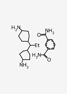 CCC(C1CCC(N)CC1)C1CCC(N)CC1.NC(=O)c1cccc(C(N)=O)c1